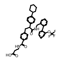 O=C(O)CCNC(=O)c1ccc(CC(C(=O)NCc2ccccc2-c2ccccc2OC(F)(F)F)c2ccc(C3CCCCC3)cc2)cc1